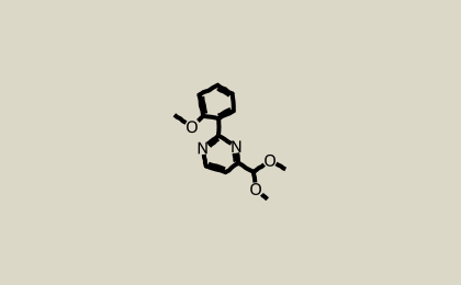 COc1ccccc1-c1nccc(C(OC)OC)n1